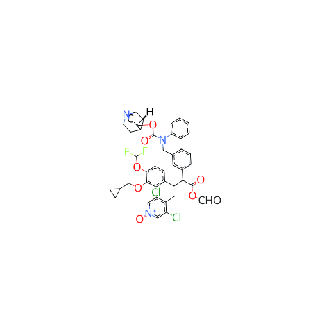 O=COC(=O)C(c1cccc(CN(C(=O)O[C@H]2CN3CCC2CC3)c2ccccc2)c1)[C@H](Cc1c(Cl)c[n+]([O-])cc1Cl)c1ccc(OC(F)F)c(OCC2CC2)c1